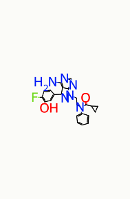 Nc1ncnc2c1c(-c1ccc(F)c(O)c1)nn2CCN(C(=O)C1CC1)c1ccccc1